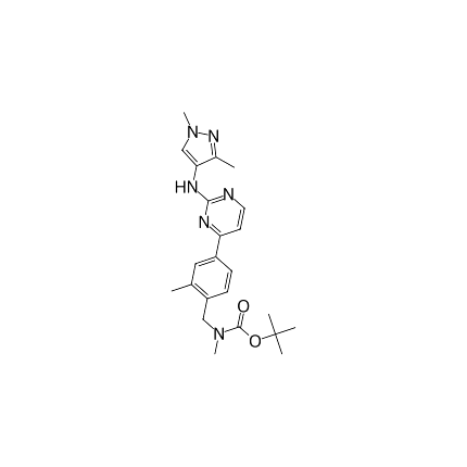 Cc1cc(-c2ccnc(Nc3cn(C)nc3C)n2)ccc1CN(C)C(=O)OC(C)(C)C